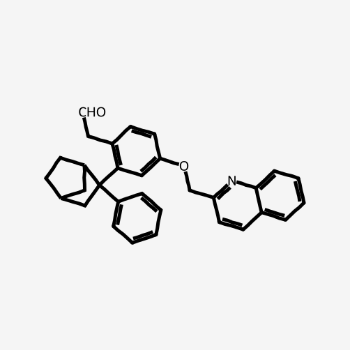 O=CCc1ccc(OCc2ccc3ccccc3n2)cc1C1(c2ccccc2)CC2CCC1C2